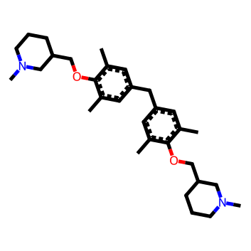 Cc1cc(Cc2cc(C)c(OCC3CCCN(C)C3)c(C)c2)cc(C)c1OCC1CCCN(C)C1